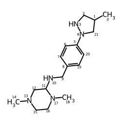 CC1CNN(c2ccc(CNC3CN(C)CCN3C)cc2)C1